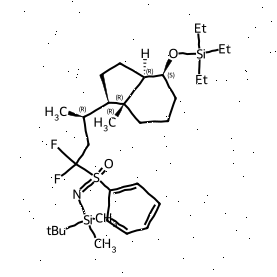 CC[Si](CC)(CC)O[C@H]1CCC[C@]2(C)[C@@H]([C@H](C)CC(F)(F)S(=O)(=N[Si](C)(C)C(C)(C)C)c3ccccc3)CC[C@@H]12